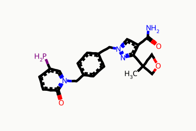 CC1(c2nn(Cc3ccc(Cn4cc(P)ccc4=O)cc3)cc2C(N)=O)COC1